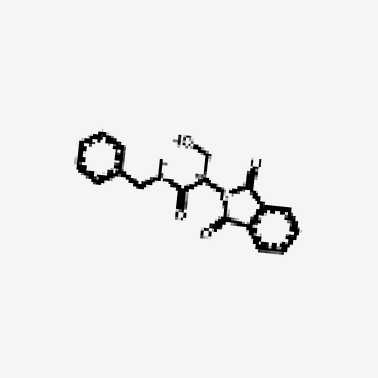 O=C(NCc1ccccc1)[C@@H](CO)N1C(=O)c2ccccc2C1=O